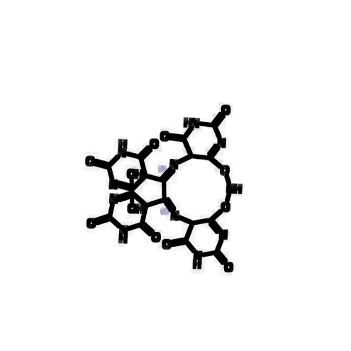 O=C1N=C2ONOC3=NC(=O)NC(=O)C3/N=C(C3C(=O)NC(=O)N=C3O)\C(C3C(=O)NC(=O)N=C3O)=N/C2C(=O)N1